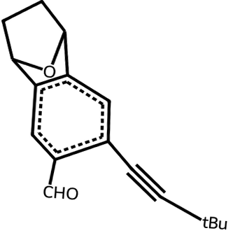 CC(C)(C)C#Cc1cc2c(cc1C=O)C1CCC2O1